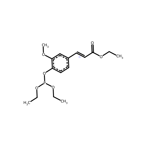 CCOC(=O)/C=C/c1ccc(OP(OCC)OCC)c(OC)c1